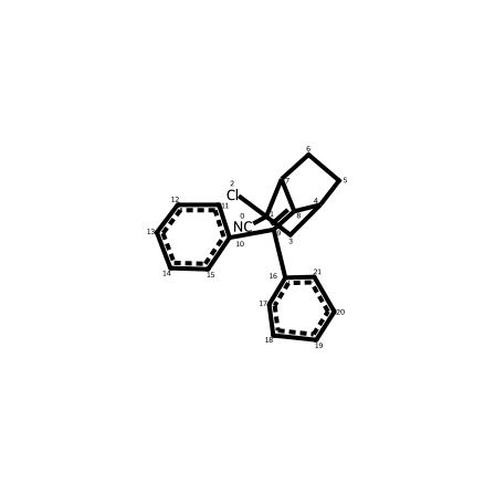 N#CC1(Cl)CC2CCC1C2=C(c1ccccc1)c1ccccc1